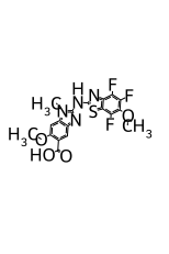 COc1cc2c(cc1C(=O)O)nc(Nc1nc3c(F)c(F)c(OC)c(F)c3s1)n2C